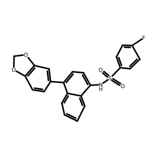 O=S(=O)(Nc1ccc(-c2ccc3c(c2)OCO3)c2ccccc12)c1ccc(F)cc1